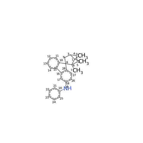 CC1(C)C2CCC1(C)C1(C2)c2ccccc2-c2cc(Nc3ccccc3)ccc21